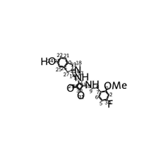 COc1cc(F)ccc1CCNc1c(NCC2(N(C)C)Cc3ccc(O)cc3C2)c(=O)c1=O